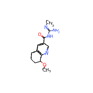 CN=C(N)NC(=O)c1cnc2c(c1)CCCC2OC